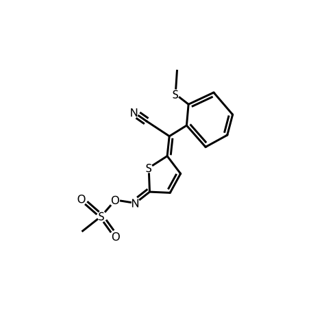 CSc1ccccc1C(C#N)=C1C=CC(=NOS(C)(=O)=O)S1